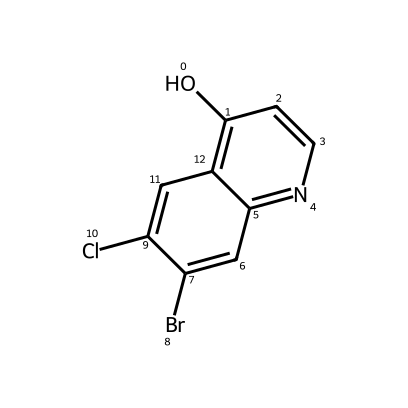 Oc1ccnc2cc(Br)c(Cl)cc12